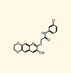 N#Cc1cc2cc3c(cc2nc1SCC(=O)Nc1cccc(Cl)c1)OCCO3